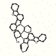 N#Cc1cccc(C2=C(n3c4ccccc4c4c5oc6ccccc6c5ccc43)C=CCC2)c1-n1c2c(c3c4oc5ccccc5c4ccc31)C=CCC#C2